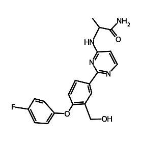 CC(Nc1ccnc(-c2ccc(Oc3ccc(F)cc3)c(CO)c2)n1)C(N)=O